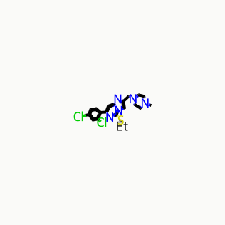 CCSc1nc(-c2ccc(Cl)cc2Cl)cc2nc(CN3CCN(C)CC3)cn12